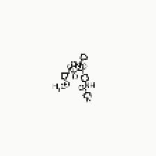 COc1cccc(N(OC)C(=O)c2nc(-c3ccccc3)oc2-c2ccc(NC(=O)c3ccncc3)cc2)c1